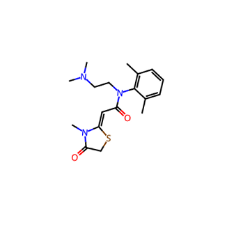 Cc1cccc(C)c1N(CCN(C)C)C(=O)C=C1SCC(=O)N1C